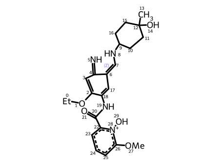 CCOC1=CC(=N)/C(=C\NC2CCC(C)(O)CC2)C=C1NC(=O)c1cccc(OC)[n+]1O